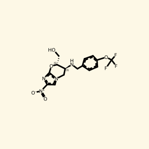 O=[N+]([O-])c1cn2c(n1)O[C@H](CO)[C@@H](NCc1ccc(OC(F)(F)F)cc1)C2